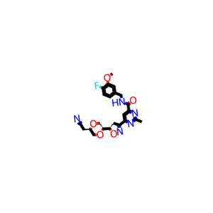 COc1cc(CNC(=O)c2cc(C3=NO[C@H]([C@H]4CO[C@H](CC#N)CO4)C3)nc(C)n2)ccc1F